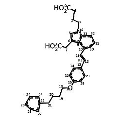 O=C(O)CCCn1cc(CC(=O)O)c2c(/C=C/c3ccc(OCCCCc4ccccc4)cc3)cccc21